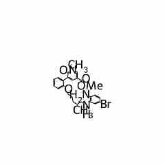 COC(=O)c1cc(-c2ccccc2OCCC[C@@H](C)CNc2cc(Br)ccc2N)c(=O)n(C)c1